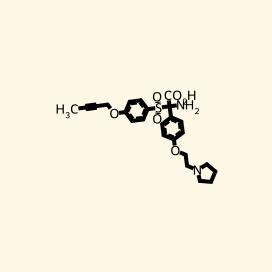 CC#CCOc1ccc(S(=O)(=O)C(N)(C(=O)O)c2ccc(OCCN3CCCC3)cc2)cc1